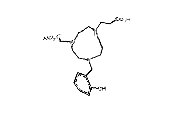 O=C(O)CCN1CCN(CC(=O)O)CCN(Cc2ccccc2O)CC1